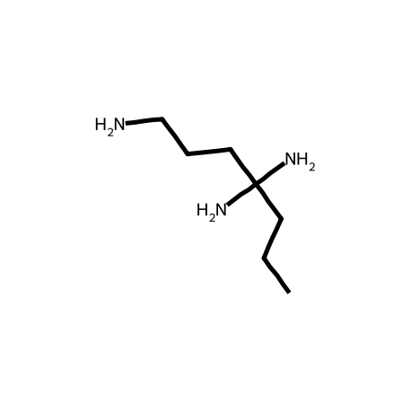 CCCC(N)(N)CCCN